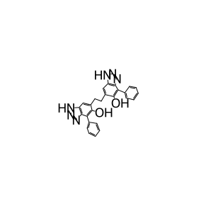 Oc1c(CCc2cc3[nH]nnc3c(-c3ccccc3)c2O)cc2[nH]nnc2c1-c1ccccc1